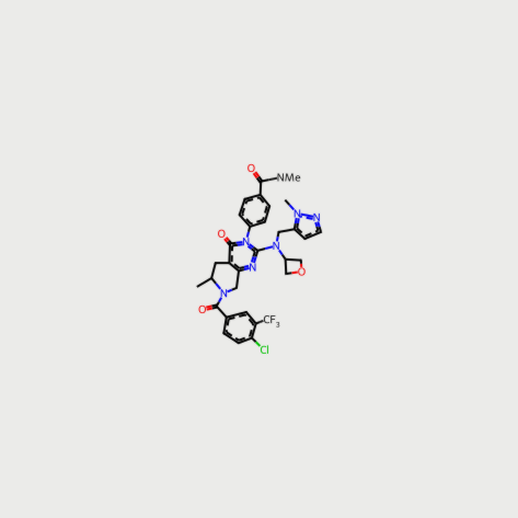 CNC(=O)c1ccc(-n2c(N(Cc3ccnn3C)C3COC3)nc3c(c2=O)CC(C)N(C(=O)c2ccc(Cl)c(C(F)(F)F)c2)C3)cc1